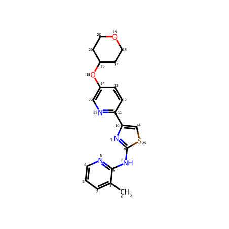 Cc1cccnc1Nc1nc(-c2ccc(OC3CCOCC3)cn2)cs1